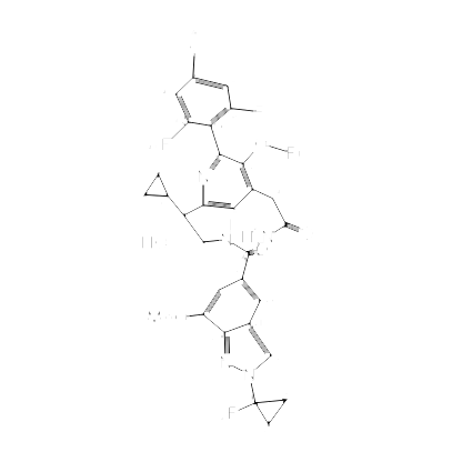 CCOc1c(CC(N)=O)cc([C@@](O)(CNC(=O)c2cc(OC)c3nn(C4(F)CC4)cc3c2)C2CC2)nc1-c1c(F)cc(Cl)cc1F